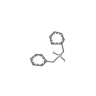 [I][Zr]([I])([CH2]c1ccccc1)[CH2]c1ccccc1